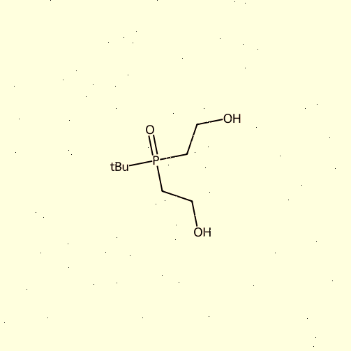 CC(C)(C)P(=O)(CCO)CCO